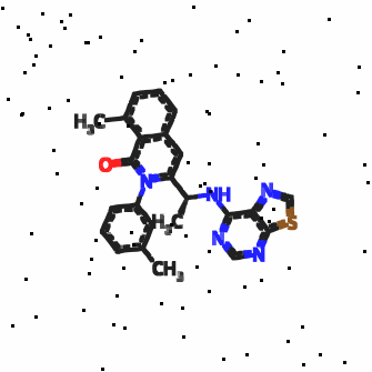 Cc1cccc(-n2c([C@H](C)Nc3ncnc4scnc34)cc3cccc(C)c3c2=O)c1